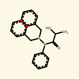 CC(O)C(=O)N(c1ccccc1)N(Cc1ccccc1)Cc1ccccc1